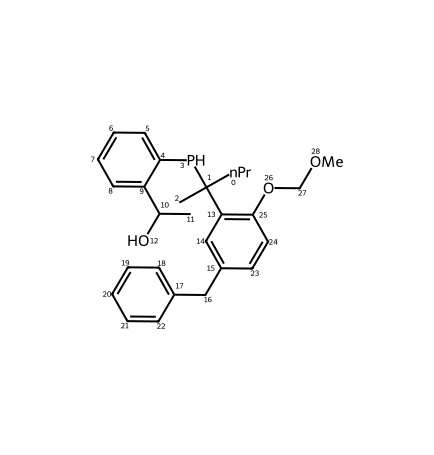 CCCC(C)(Pc1ccccc1C(C)O)c1cc(Cc2ccccc2)ccc1OCOC